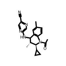 CC(=O)N1c2ccc(C)cc2C(Nc2cnc(C#N)cn2)[C@@H](C)[C@@H]1C1CC1